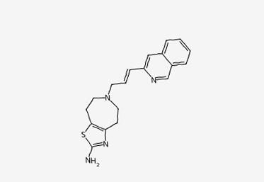 Nc1nc2c(s1)CCN(CC=Cc1cc3ccccc3cn1)CC2